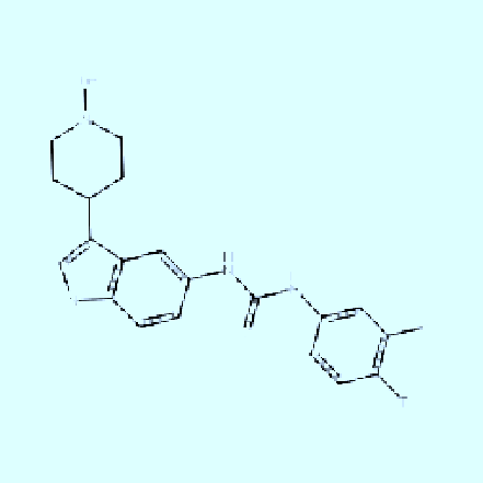 CCCCN1CCC(c2c[nH]c3ccc(NC(=S)Nc4ccc(F)c(F)c4)cc23)CC1